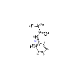 C=C(F)C(=O)/N=c1\cccc[nH]1